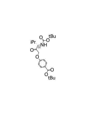 CC(C)[C@H](NC(=O)OC(C)(C)C)C(=O)COc1ccc(C(=O)OC(C)(C)C)cc1